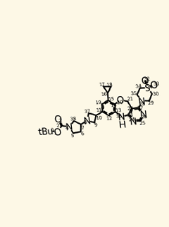 CC(C)(C)OC(=O)N1CCC(N2CC(c3cc4c(c(C5CC5)c3)OCc3c(ncnc3N3CCS(=O)(=O)CC3)N4)C2)C1